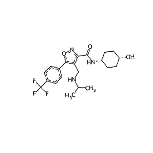 CC(C)NCc1c(C(=O)N[C@H]2CC[C@@H](O)CC2)noc1-c1ccc(C(F)(F)F)cc1